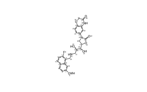 COc1ccc2ncc(F)c(CNC[C@@H](O)[C@H](O)C3CN(c4ccc5c(c4)NC(=O)CO5)C(=O)O3)c2c1